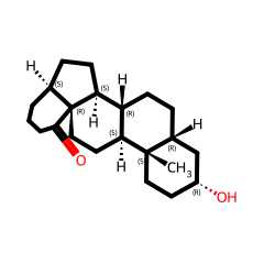 C[C@]12CC[C@@H](O)C[C@H]1CC[C@@H]1[C@@H]2CC[C@@]23C(=O)CCC[C@H]2CC[C@@H]13